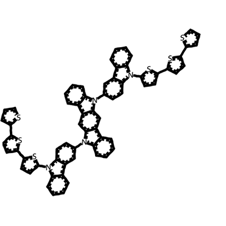 c1csc(-c2ccc(-c3ccc(-n4c5ccccc5c5cc(-n6c7ccccc7c7cc8c(cc76)c6ccccc6n8-c6ccc7c(c6)c6ccccc6n7-c6ccc(-c7ccc(-c8cccs8)s7)s6)ccc54)s3)s2)c1